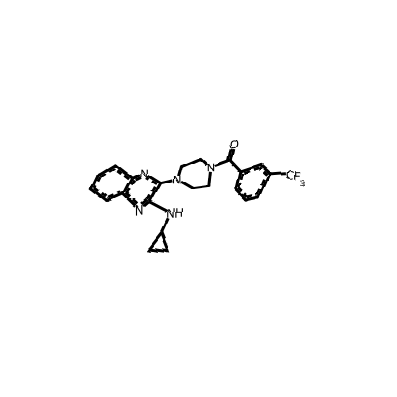 O=C(c1cccc(C(F)(F)F)c1)N1CCN(c2nc3ccccc3nc2NC2CC2)CC1